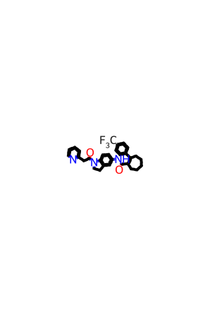 O=C(Nc1ccc2c(c1)CCN2C(=O)Cc1ccccn1)C1=C(c2ccc(C(F)(F)F)cc2)CCCCC1